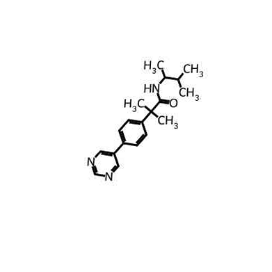 CC(C)C(C)NC(=O)C(C)(C)c1ccc(-c2cncnc2)cc1